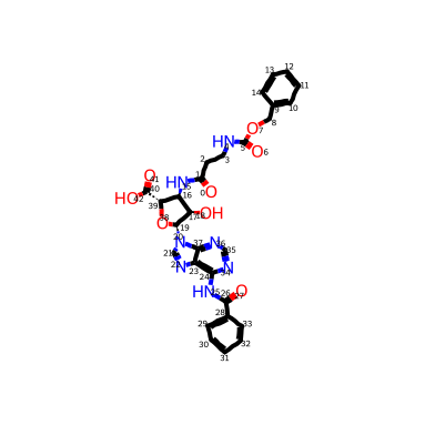 O=C(CCNC(=O)OCc1ccccc1)N[C@H]1[C@@H](O)[C@H](n2cnc3c(NC(=O)c4ccccc4)ncnc32)O[C@@H]1C(=O)O